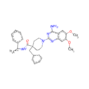 COc1cc2nc(N3CCC(Cc4ccccc4)(C(=O)N[C@@H](C)c4ccccc4)CC3)nc(N)c2cc1OC